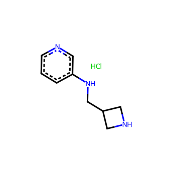 Cl.c1cncc(NCC2CNC2)c1